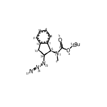 CN(C(=O)OC(C)(C)C)[C@@H]1c2ccccc2CC1N=[N+]=[N-]